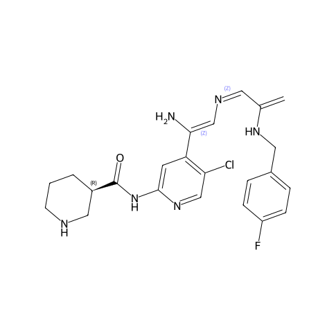 C=C(/C=N\C=C(/N)c1cc(NC(=O)[C@@H]2CCCNC2)ncc1Cl)NCc1ccc(F)cc1